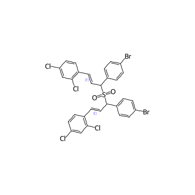 O=S(=O)(C(/C=C/c1ccc(Cl)cc1Cl)c1ccc(Br)cc1)C(/C=C/c1ccc(Cl)cc1Cl)c1ccc(Br)cc1